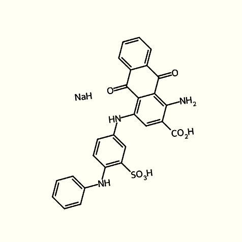 Nc1c(C(=O)O)cc(Nc2ccc(Nc3ccccc3)c(S(=O)(=O)O)c2)c2c1C(=O)c1ccccc1C2=O.[NaH]